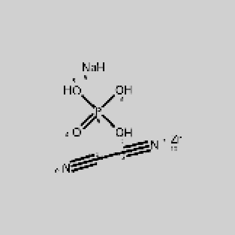 N#CC#N.O=P(O)(O)O.[NaH].[Zr]